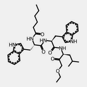 CCCCCC(=O)N[C@@H](Cc1c[nH]c2ccccc12)C(=O)N[C@@H](Cc1c[nH]c2ccccc12)C(=O)N[C@@H](CC(C)C)C(=O)COCC